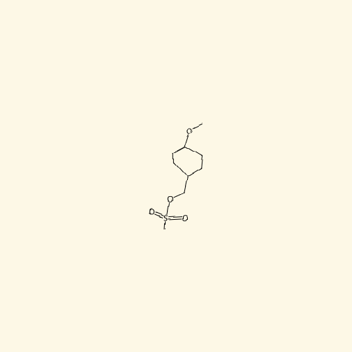 COC1CCC(COS(C)(=O)=O)CC1